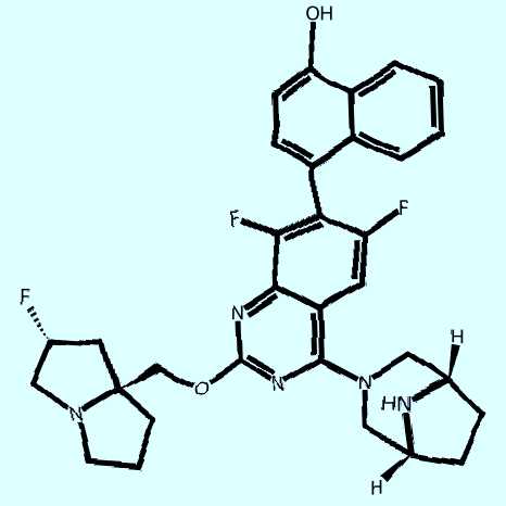 Oc1ccc(-c2c(F)cc3c(N4C[C@H]5CC[C@@H](C4)N5)nc(OC[C@@]45CCCN4C[C@H](F)C5)nc3c2F)c2ccccc12